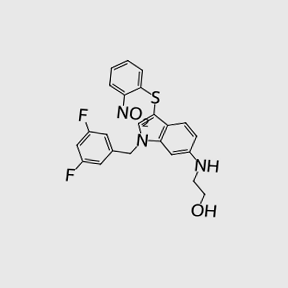 O=[N+]([O-])c1ccccc1Sc1cn(Cc2cc(F)cc(F)c2)c2cc(NCCO)ccc12